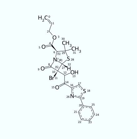 C=CCOC(=O)[C@@H]1N2C(=O)[C@@](Br)(C(O)C(=O)c3csc(-c4ccccc4)n3)[C@H]2SC1(C)C